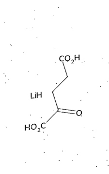 O=C(O)CCC(=O)C(=O)O.[LiH]